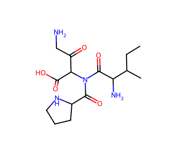 CCC(C)C(N)C(=O)N(C(=O)C1CCCN1)C(C(=O)O)C(=O)CN